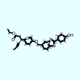 CC#C[C@@H](CC(=O)OCC)c1ccc(OCc2ccc3nc(-c4ccc(O)cc4)nn3c2)cc1